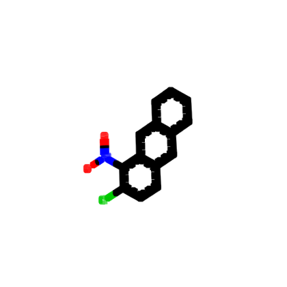 O=[N+]([O-])c1c(Cl)ccc2cc3ccccc3cc12